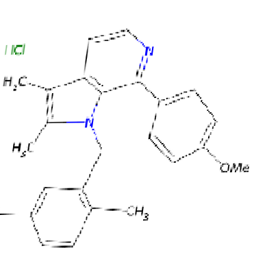 COc1ccc(-c2nccc3c(C)c(C)n(Cc4cc(C)ccc4C)c23)cc1.Cl